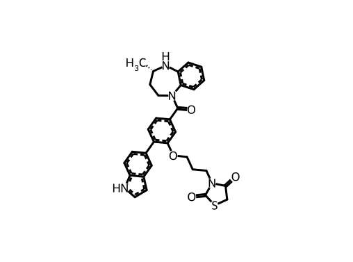 C[C@H]1CCN(C(=O)c2ccc(-c3ccc4[nH]ccc4c3)c(OCCCN3C(=O)CSC3=O)c2)c2ccccc2N1